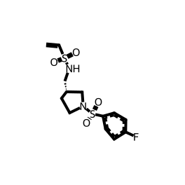 C=CS(=O)(=O)NC[C@H]1CCN(S(=O)(=O)c2ccc(F)cc2)C1